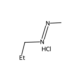 CCCN=NC.Cl